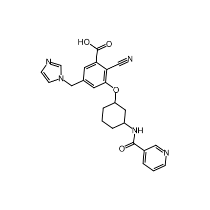 N#Cc1c(OC2CCCC(NC(=O)c3cccnc3)C2)cc(Cn2ccnc2)cc1C(=O)O